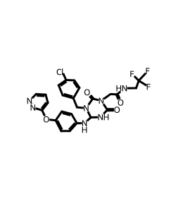 O=C(CN1C(=O)NC(Nc2ccc(Oc3cccnn3)cc2)N(Cc2ccc(Cl)cc2)C1=O)NCC(F)(F)F